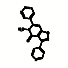 Cn1c(-c2cccnc2)cc2onc(-c3ccncc3)c2c1=O